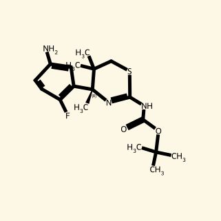 CC(C)(C)OC(=O)NC1=N[C@](C)(c2cc(N)ccc2F)C(C)(C)CS1